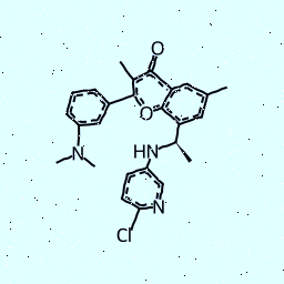 Cc1cc([C@@H](C)Nc2ccc(Cl)nc2)c2oc(-c3cccc(N(C)C)c3)c(C)c(=O)c2c1